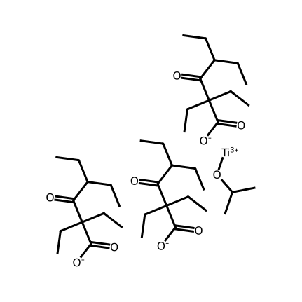 CC(C)[O][Ti+3].CCC(CC)C(=O)C(CC)(CC)C(=O)[O-].CCC(CC)C(=O)C(CC)(CC)C(=O)[O-].CCC(CC)C(=O)C(CC)(CC)C(=O)[O-]